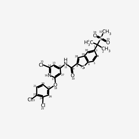 CC(C)(c1ccc2sc(C(=O)Nc3cc(Cl)nc(Oc4ccc(Cl)c(Cl)c4)c3)cc2c1)S(C)(=O)=O